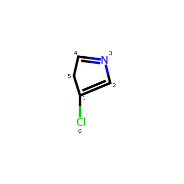 ClC1=CN=CC1